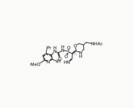 COc1cc(C(C)C)c(NC(=O)NS(=O)(=O)/C(C=N)=C2/NCC(CNC(C)=O)CO2)c(C(C)C)n1